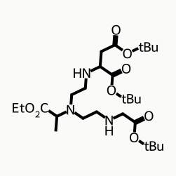 CCOC(=O)C(C)N(CCNCC(=O)OC(C)(C)C)CCNC(CC(=O)OC(C)(C)C)C(=O)OC(C)(C)C